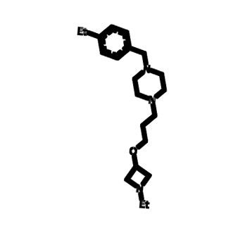 CCc1ccc(CN2CCN(CCCOC3CN(CC)C3)CC2)cc1